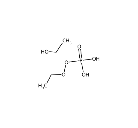 CCO.CCOOP(=O)(O)O